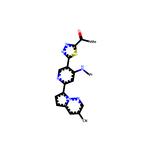 CNC(=O)c1nnc(-c2cnc(-c3ccc4cc(C#N)cnn34)cc2NC(C)C)s1